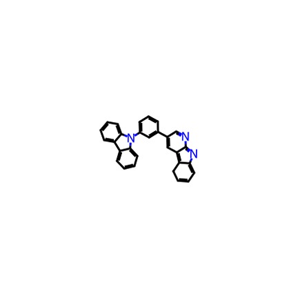 C1=CCC2=c3cc(-c4cccc(-n5c6ccccc6c6ccccc65)c4)cnc3=NC2=C1